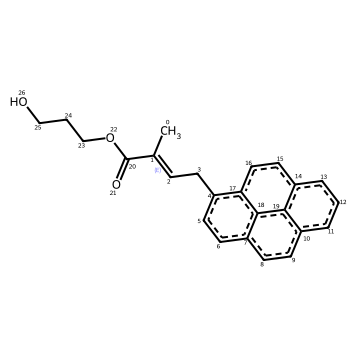 C/C(=C\Cc1ccc2ccc3cccc4ccc1c2c34)C(=O)OCCCO